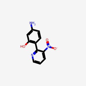 Nc1ccc(-c2ncccc2[N+](=O)[O-])c(O)c1